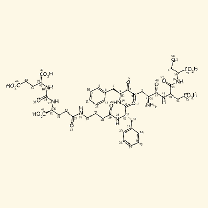 N[C@@H](CNC(=O)[C@H](Cc1ccccc1)NC(=O)[C@H](Cc1ccccc1)NC(=O)CCCNC(=O)CC[C@H](NC(=O)N[C@@H](CCC(=O)O)C(=O)O)C(=O)O)C(=O)NC(CC(=O)O)C(=O)NC(CS)C(=O)O